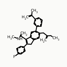 C=C(CC)Cc1cc2c(cc1-c1cccc(C(=C)C)c1)C(C(=C)NC)=C(c1ccc(F)cc1)C2